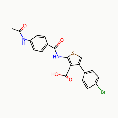 CC(=O)Nc1ccc(C(=O)Nc2scc(-c3ccc(Br)cc3)c2C(=O)O)cc1